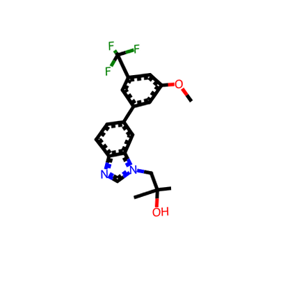 COc1cc(-c2ccc3ncn(CC(C)(C)O)c3c2)cc(C(F)(F)F)c1